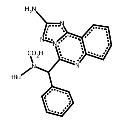 CC(C)(C)N(C(=O)O)C(c1ccccc1)c1nc2ccccc2c2nc(N)nn12